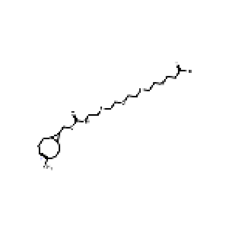 C/C1=C/CCC2C(CC1)C2COC(=O)NCCOCCOCCOCCOCCC(=O)O